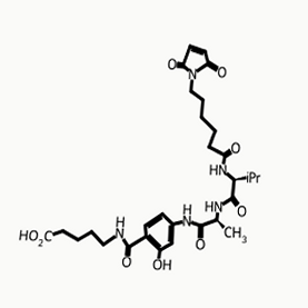 CC(C)[C@H](NC(=O)CCCCCN1C(=O)C=CC1=O)C(=O)N[C@@H](C)C(=O)Nc1ccc(C(=O)NCCCCC(=O)O)c(O)c1